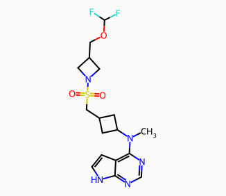 CN(c1ncnc2[nH]ccc12)C1CC(CS(=O)(=O)N2CC(COC(F)F)C2)C1